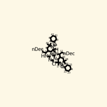 CCCCCCCCCCCC(Nc1nc(Cl)nc(NC(CCCCCCCCCCC)C2CC(C)(C)N(OC3CCCCC3)C(C)(C)C2)n1)C1CC(C)(C)N(OC2CCCCC2)C(C)(C)C1